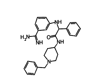 N=C(N)c1cccc(NC(C(=O)NC2CCN(Cc3ccccc3)CC2)c2ccccc2)c1